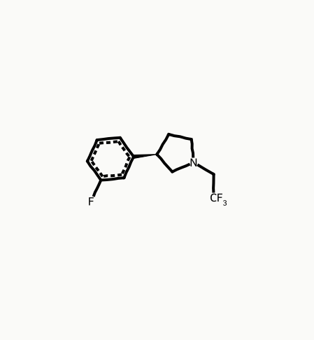 Fc1cccc([C@H]2CCN(CC(F)(F)F)C2)c1